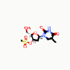 Cc1cn([C@H]2C[C@@H](OS(C)(=O)=O)[C@H](CO)O2)c(=O)[nH]c1=O